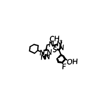 CN(Cc1nnnn1C1CCCCC1)c1nnc(-c2ccc(F)c(O)c2)s1